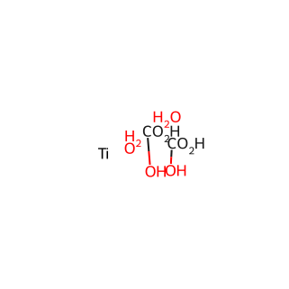 O.O.O=C(O)O.O=C(O)O.[Ti]